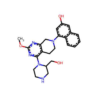 COc1nc2c(c(N3CCNCC3CO)n1)CCN(c1cc(O)cc3ccccc13)C2